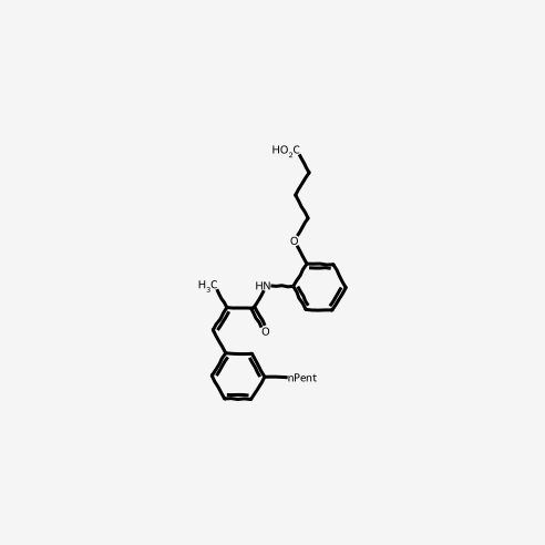 CCCCCc1cccc(C=C(C)C(=O)Nc2ccccc2OCCCC(=O)O)c1